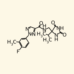 Cc1cc(-n2ncc(C(=O)NCC3(C(C)C)NC(=O)NC3=O)n2)ccc1F